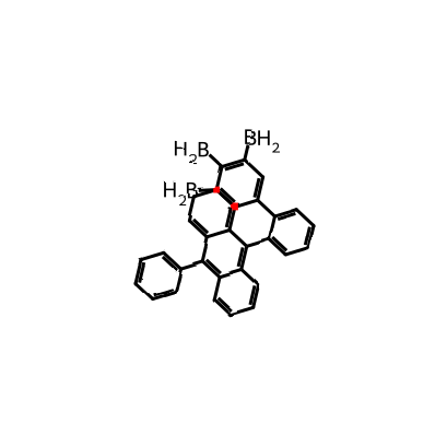 Bc1cc(-c2ccccc2-c2c3c(c(-c4ccccc4)c4ccccc24)=CCCC=3)cc(B)c1B